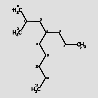 [CH2]C(C)CC(CCC)CCCCC